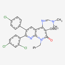 COc1c(/N=C\N(C)C)c2cc(-c3ccc(Cl)cc3)c(-c3ccc(Cl)cc3Cl)nc2n(CC(C)C)c1=O